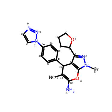 CC(C)n1nc(C2CCCO2)c2c1OC(N)=C(C#N)C2c1ccc(-n2ccnn2)cc1